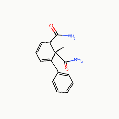 CC1(C(N)=O)C(c2ccccc2)=CC=CC1C(N)=O